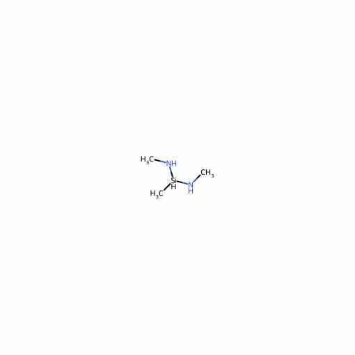 CN[SiH](C)NC